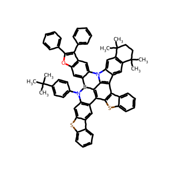 CC(C)(C)c1ccc(N2B3c4cc5oc(-c6ccccc6)c(-c6ccccc6)c5cc4-n4c5cc6c(cc5c5c7c(sc8ccccc87)c(c3c54)-c3cc4c(cc32)sc2ccccc24)C(C)(C)CCC6(C)C)cc1